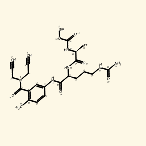 C#CCN(CC#C)C(=O)c1cc(NC(=O)[C@H](CCCNC(N)=O)NC(=O)[C@@H](NC(=O)OC(C)(C)C)C(C)C)ccc1[CH2]